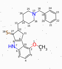 COc1cccc2[nH]c3c(c12)CC(CC1CCN(Cc2ccccc2)CC1)C3=S